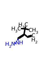 C=C/C(=C\NN)C(C)(C)C